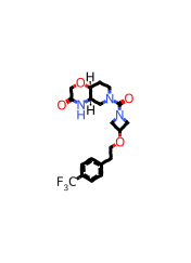 O=C1CO[C@H]2CCN(C(=O)N3CC(OCCc4ccc(C(F)(F)F)cc4)C3)C[C@H]2N1